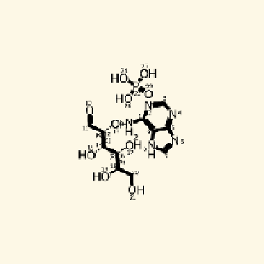 Nc1ncnc2nc[nH]c12.O=C[C@H](O)[C@@H](O)[C@H](O)[C@H](O)CO.O=P(O)(O)O